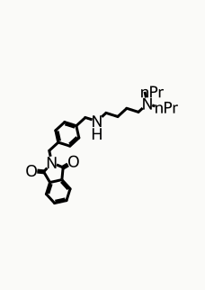 CCCN(CCC)CCCCNCc1ccc(CN2C(=O)c3ccccc3C2=O)cc1